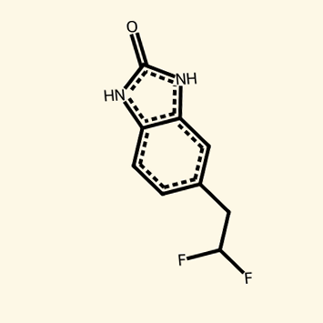 O=c1[nH]c2ccc(CC(F)F)cc2[nH]1